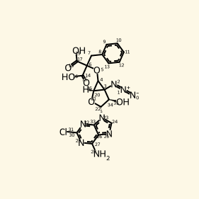 [N-]=[N+]=NC12C(OC(Cc3ccccc3)(C(=O)O)C(=O)O)[C@H]1O[C@@H](n1cnc3c(N)nc(Cl)nc31)[C@@H]2O